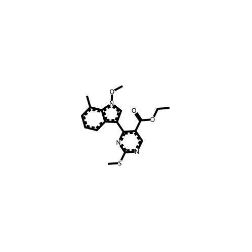 CCOC(=O)c1cnc(SC)nc1-c1cn(OC)c2c(C)cccc12